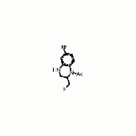 CC(=O)N1c2ccc(Br)cc2NCC1CF